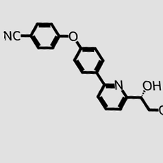 N#Cc1ccc(Oc2ccc(-c3cccc([C@H](O)CO)n3)cc2)cc1